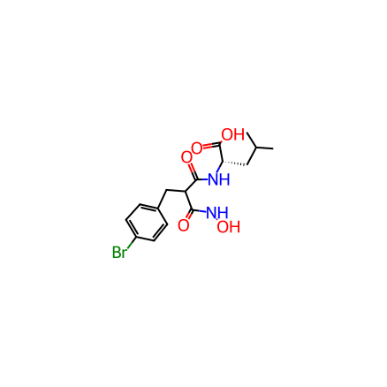 CC(C)C[C@H](NC(=O)C(Cc1ccc(Br)cc1)C(=O)NO)C(=O)O